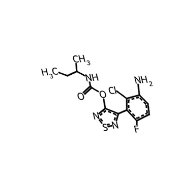 CCC(C)NC(=O)Oc1nsnc1-c1c(F)ccc(N)c1Cl